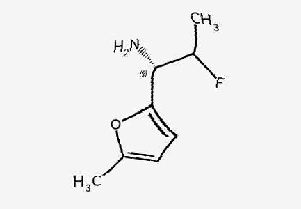 Cc1ccc([C@H](N)C(C)F)o1